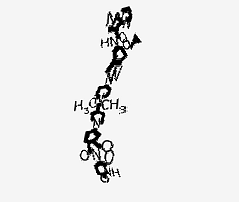 CC(C)(C1CCN(c2ccc3c(c2)C(=O)N(C2CCC(=O)NC2=O)C3=O)CC1)N1CCC(n2cc3cc(NC(=O)c4cnn5cccnc45)c(OCC4CC4)cc3n2)CC1